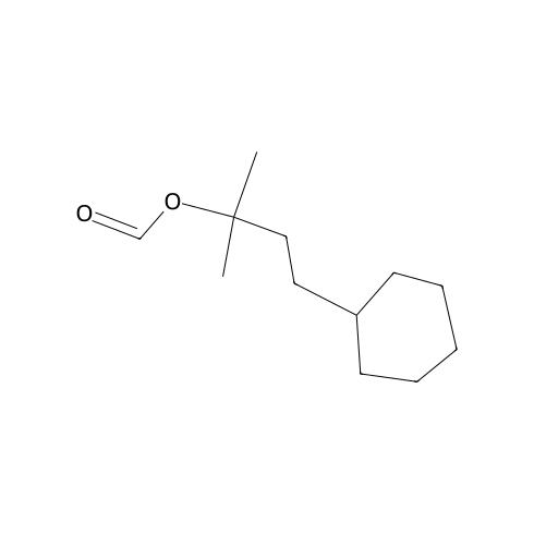 CC(C)(CCC1CCCCC1)OC=O